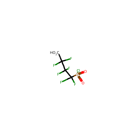 O=C(O)C(F)(F)C(F)(F)C(F)(F)S(=O)(=O)Cl